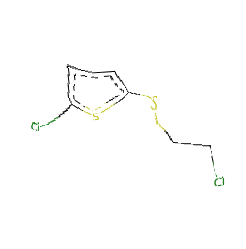 ClCCSc1ccc(Cl)s1